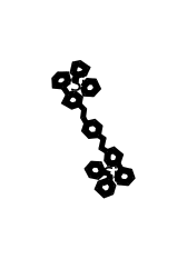 c1ccc([Si]2(c3ccccc3)c3ccccc3-c3ccc(CCc4ccc(CCc5ccc6c(c5)[Si](c5ccccc5)(c5ccccc5)c5ccccc5-6)cc4)cc32)cc1